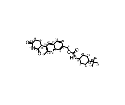 Cc1nc2cc(COC(=O)NC3CCC(C(C)(C)C)CC3)ccc2cc1C1CCC(=O)NC1=O